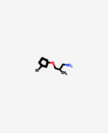 CCc1cccc(OC[C@H](C)CN)c1